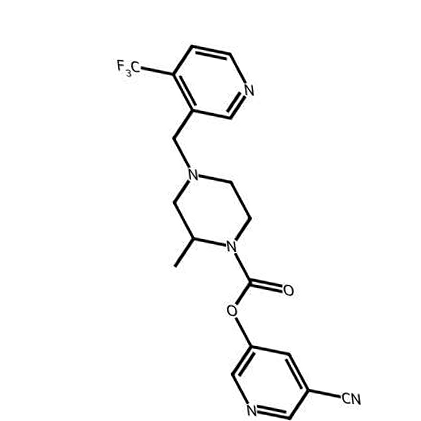 CC1CN(Cc2cnccc2C(F)(F)F)CCN1C(=O)Oc1cncc(C#N)c1